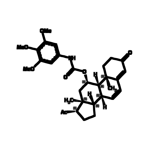 COc1cc(NC(=O)O[C@H]2C[C@]3(C)[C@@H](C(C)=O)CC[C@H]3[C@@H]3C=CC4=CC(=O)CC[C@@]4(C)[C@@H]32)cc(OC)c1OC